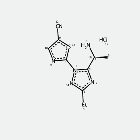 CCc1nc([C@H](C)N)n(-c2ncc(C#N)s2)n1.Cl